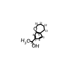 CC(O)c1ccc2c(c1)OCCCC2